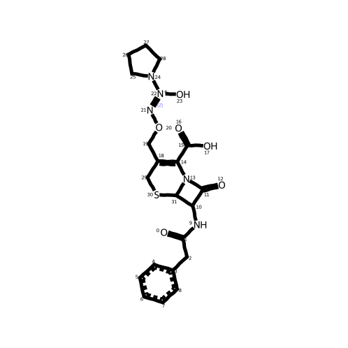 O=C(Cc1ccccc1)NC1C(=O)N2C(C(=O)O)=C(CO/N=[N+](\O)N3CCCC3)CSC12